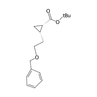 CC(C)(C)OC(=O)[C@H]1C[C@H]1CCOCc1ccccc1